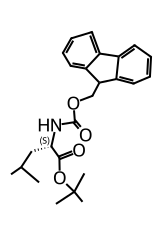 CC(C)C[C@H](NC(=O)OCC1c2ccccc2-c2ccccc21)C(=O)OC(C)(C)C